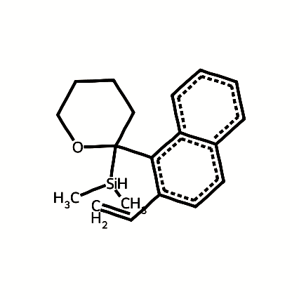 C=Cc1ccc2ccccc2c1C1([SiH](C)C)CCCCO1